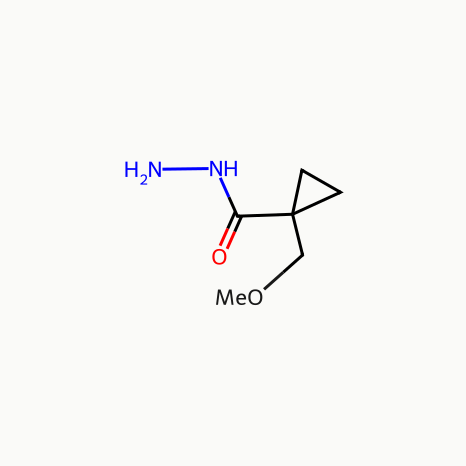 COCC1(C(=O)NN)CC1